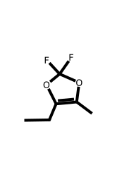 CCC1=C(C)OC(F)(F)O1